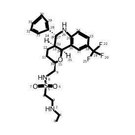 CCNCCS(=O)(=O)NC[C@H]1CC[C@@H]2[C@H](O1)c1cc(C(F)(F)F)ccc1N[C@H]2c1ccccc1